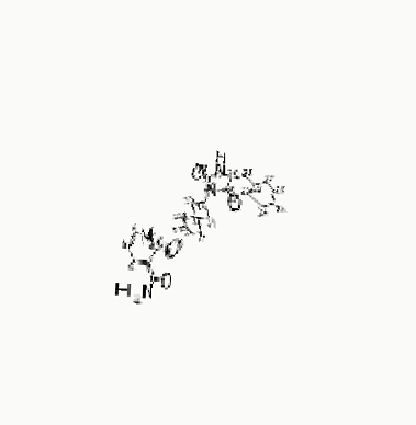 NC(=O)c1cccnc1O[C@H]1CC2(C1)C[C@H](N1C(=O)NC(CC3CCCCC3)C1=O)C2